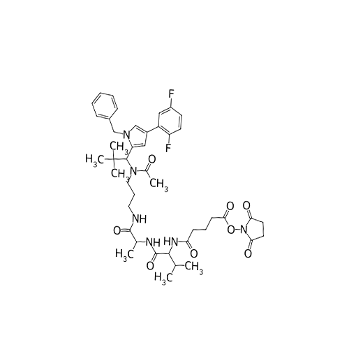 CC(=O)N(CCCNC(=O)C(C)NC(=O)C(NC(=O)CCCC(=O)ON1C(=O)CCC1=O)C(C)C)C(c1cc(-c2cc(F)ccc2F)cn1Cc1ccccc1)C(C)(C)C